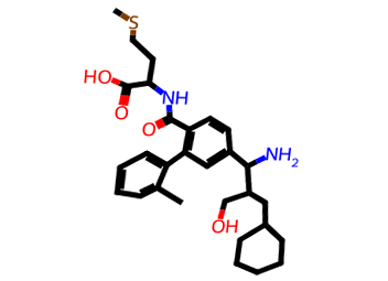 CSCCC(NC(=O)c1ccc(C(N)C(CO)CC2CCCCC2)cc1-c1ccccc1C)C(=O)O